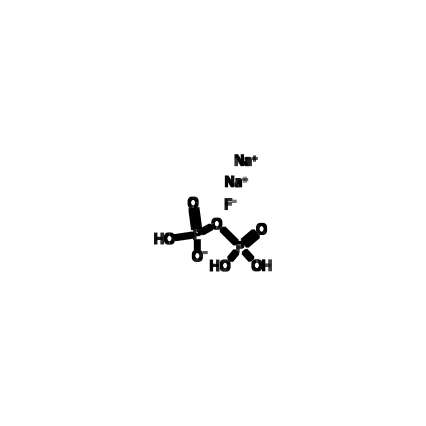 O=P([O-])(O)OP(=O)(O)O.[F-].[Na+].[Na+]